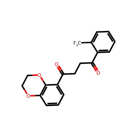 O=C(CCC(=O)c1cccc2c1OCCO2)c1ccccc1C(F)(F)F